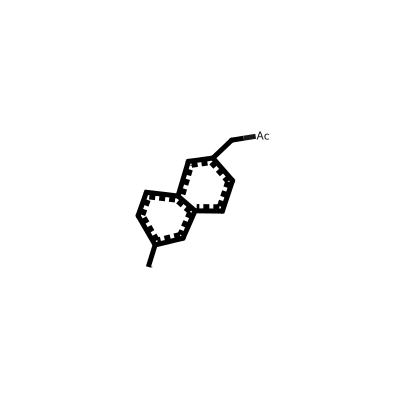 [CH2]c1ccc2cc(CC(C)=O)ccc2c1